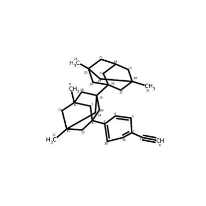 C#Cc1ccc(C23CC4(C)CC(C)(C2)CC(C25CC6CC(C)(CC(C)(C6)C2)C5)(C4)C3)cc1